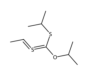 CC=S=C(OC(C)C)SC(C)C